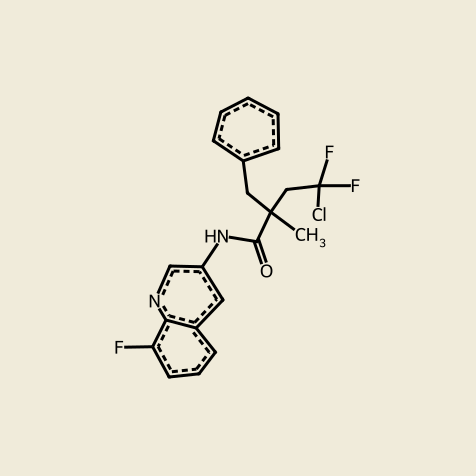 CC(Cc1ccccc1)(CC(F)(F)Cl)C(=O)Nc1cnc2c(F)cccc2c1